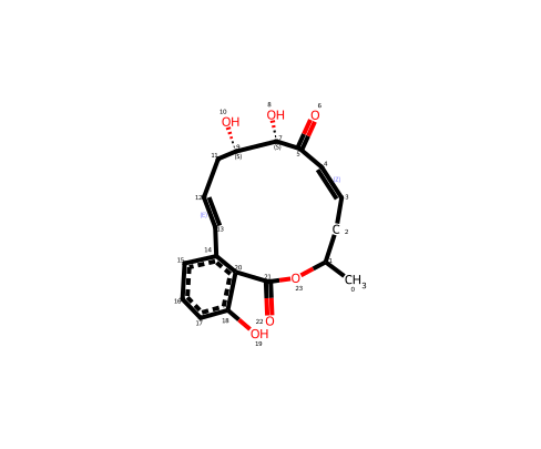 CC1C/C=C\C(=O)[C@@H](O)[C@@H](O)C/C=C/c2cccc(O)c2C(=O)O1